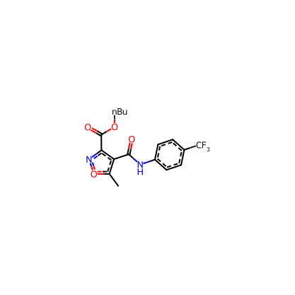 CCCCOC(=O)c1noc(C)c1C(=O)Nc1ccc(C(F)(F)F)cc1